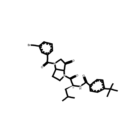 CC(C)C[C@H](NC(=O)c1ccc(C(C)(C)C)cc1)C(=O)N1CCC2C1C(=O)CN2C(=O)c1cccc(Br)c1